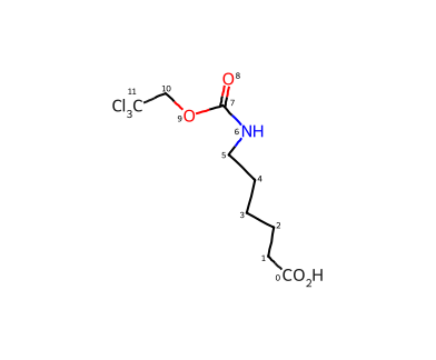 O=C(O)CCCCCNC(=O)OCC(Cl)(Cl)Cl